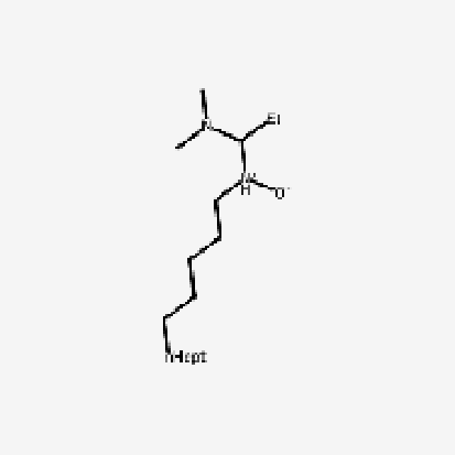 CCCCCCCCCCCC[NH+]([O-])C(CC)N(C)C